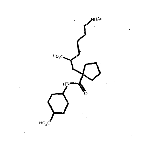 CC(=O)NCCCCC(CC1(C(=O)NC2CCC(C(=O)O)CC2)CCCC1)C(=O)O